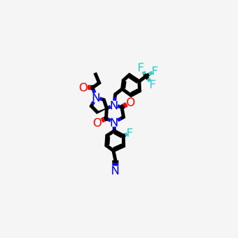 CCC(=O)N1CC[C@]2(C1)C(=O)N(c1ccc(C#N)cc1F)CC(=O)N2Cc1ccc(C(F)(F)F)cc1